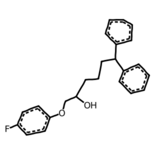 OC(CCCC(c1ccccc1)c1ccccc1)COc1ccc(F)cc1